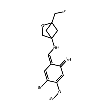 CC(C)OC1=CC(=N)/C(=C\NC23COC(CF)(C2)C3)C=C1Br